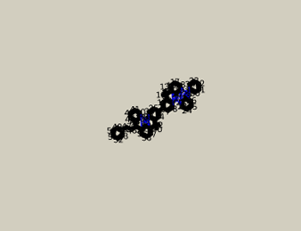 CC1(C)c2cc(-c3ccc4c(c3)C(C)(C)c3cccc5c3N4c3ccccc3N5c3ccccc3)ccc2N2c3ccccc3C(CCc3ccccc3)c3cccc1c32